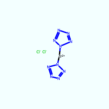 [Cl-].[Cl-].n1nn[n]([Zr+2][n]2nnnn2)n1